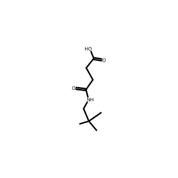 CC(C)(C)CNC(=O)CCC(=O)O